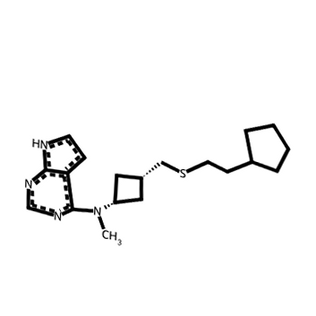 CN(c1ncnc2[nH]ccc12)[C@H]1C[C@@H](CSCCC2CCCC2)C1